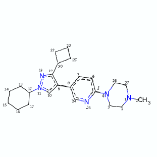 CN1CCN(c2ccc(-c3cn(C4CCCCC4)nc3C3CCC3)cn2)CC1